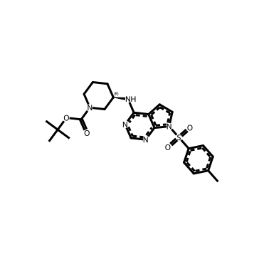 Cc1ccc(S(=O)(=O)n2ccc3c(N[C@@H]4CCCN(C(=O)OC(C)(C)C)C4)ncnc32)cc1